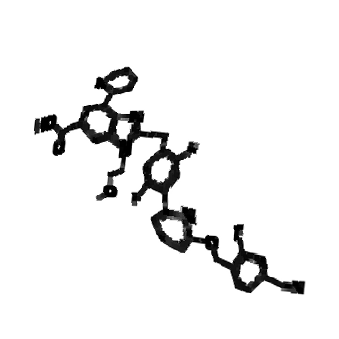 COCCn1c(Cc2cc(F)c(-c3cccc(OCc4ccc(C#N)cc4F)n3)cc2F)nc2c(-c3ccccn3)cc(C(=O)O)cc21